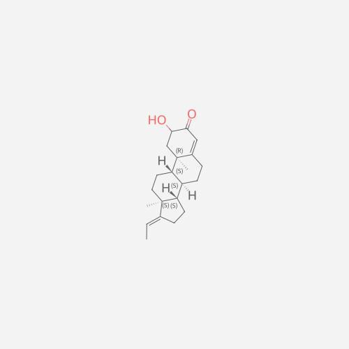 CC=C1CC[C@H]2[C@@H]3CCC4=CC(=O)C(O)C[C@]4(C)[C@H]3CC[C@]12C